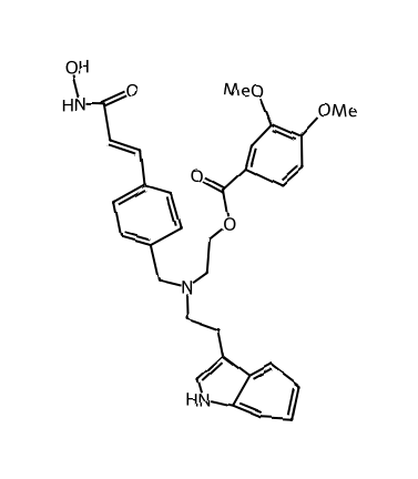 COc1ccc(C(=O)OCCN(CCc2c[nH]c3ccccc23)Cc2ccc(/C=C/C(=O)NO)cc2)cc1OC